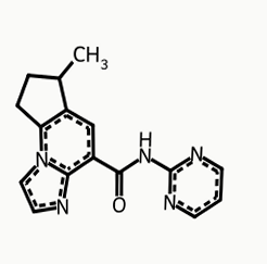 CC1CCc2c1cc(C(=O)Nc1ncccn1)c1nccn21